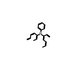 C=C/C=C\C(=C/C)N(/C(C=C)=C/C=C\C)c1ccccc1